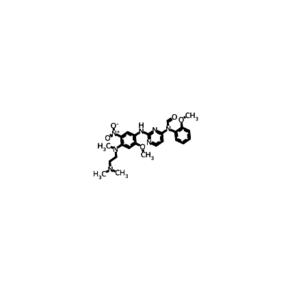 COc1cc(N(C)CCN(C)C)c([N+](=O)[O-])cc1Nc1nccc(N(C=O)c2ccccc2OC)n1